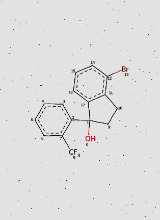 OC1(c2ccccc2C(F)(F)F)CCc2c(Br)cccc21